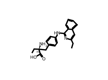 CCc1cc2ccccc2c(Nc2ccc(C[C@@](N)(CC)C(=O)O)cc2)n1